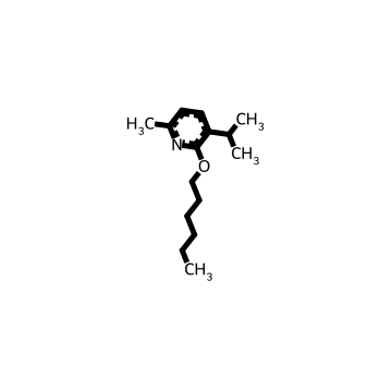 CCCCCCOc1nc(C)ccc1C(C)C